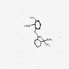 CCCC(C)(O)C1CCCCC1COc1cccc(O)c1C=O